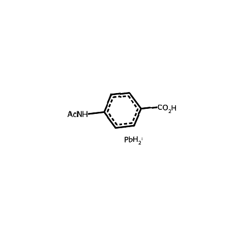 CC(=O)Nc1ccc(C(=O)O)cc1.[PbH2]